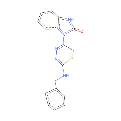 O=c1[nH]c2ccccc2n1C1=NN=C(NCc2ccccc2)SC1